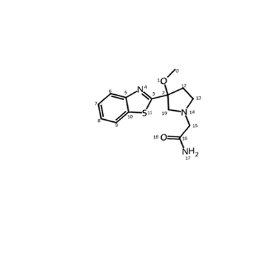 COC1(c2nc3ccccc3s2)CCN(CC(N)=O)C1